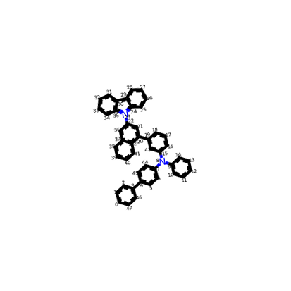 c1ccc(-c2ccc(N(c3ccccc3)c3cccc(-c4cc(-n5c6ccccc6c6ccccc65)cc5ccccc45)c3)cc2)cc1